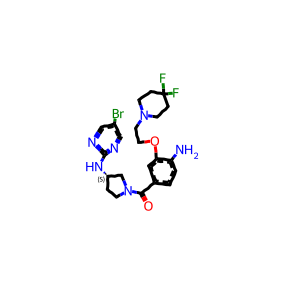 Nc1ccc(C(=O)N2CC[C@H](Nc3ncc(Br)cn3)C2)cc1OCCN1CCC(F)(F)CC1